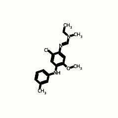 CCN(C)C=Nc1cc(OC)c(Nc2cccc(C)c2)cc1Cl